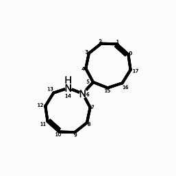 C1=CCCCC(N2CCCC=CCCN2)CCC1